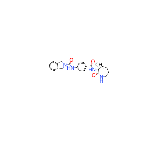 C[C@]1(NC(=O)c2ccc(NC(=O)N3Cc4ccccc4C3)cc2)CCCCNC1=O